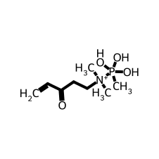 C=CC(=O)CC[N+](C)(C)P(C)(O)(O)O